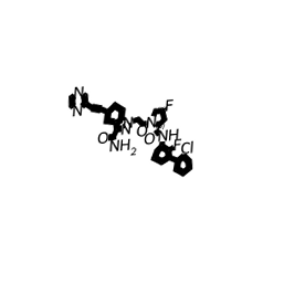 NC(=O)c1nn(CC(=O)N2C[C@H](F)C[C@H]2C(=O)Nc2cccc(-c3ccccc3Cl)c2F)c2ccc(C#Cc3cnccn3)cc12